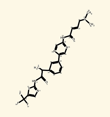 CC(C(=O)Nc1ncc(C(F)(F)F)s1)c1cccc(-c2cnc(NC(=O)/C=C/CN(C)C)cn2)c1